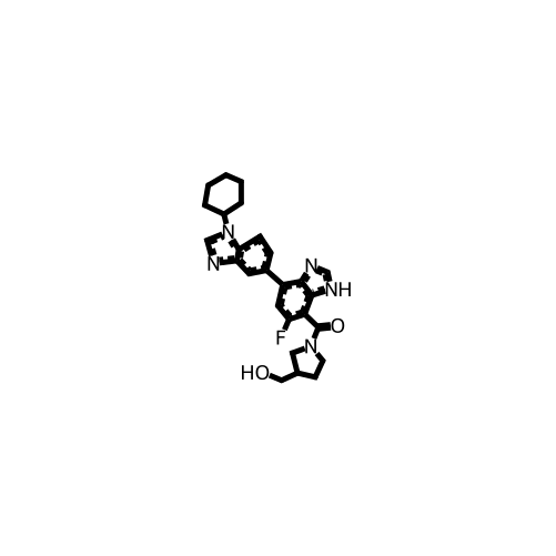 O=C(c1c(F)cc(-c2ccc3c(c2)ncn3C2CCCCC2)c2nc[nH]c12)N1CCC(CO)C1